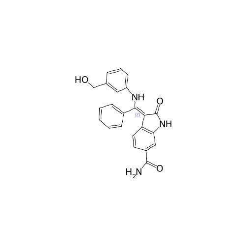 NC(=O)c1ccc2c(c1)NC(=O)/C2=C(\Nc1cccc(CO)c1)c1ccccc1